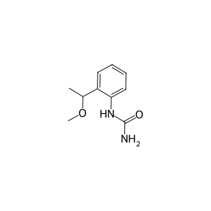 COC(C)c1ccccc1NC(N)=O